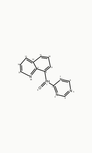 O=[PH](c1ncncn1)c1cccc2cccnc12